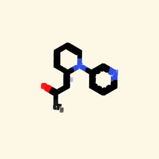 O=C(/C=C1\C=CC=CN1c1cccnc1)C(F)(F)F